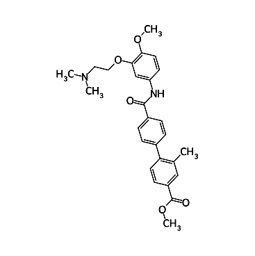 COC(=O)c1ccc(-c2ccc(C(=O)Nc3ccc(OC)c(OCCN(C)C)c3)cc2)c(C)c1